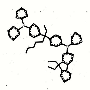 CCCCCC(CC)(c1ccc(N(c2ccccc2)c2ccccc2)cc1)c1ccc(N(c2ccccc2)c2ccc3c(c2)C(CC)(CC)c2ccccc2-3)cc1